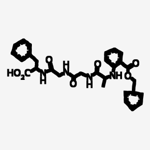 CC(Nc1ccccc1C(=O)OCc1ccccc1)C(=O)NCC(=O)NCC(=O)NC(Cc1ccccc1)C(=O)O